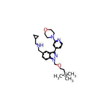 C[Si](C)(C)CCOCn1nc(-c2ccnc(N3CCOCC3)c2)c2cc(CNCC3CC3)ccc21